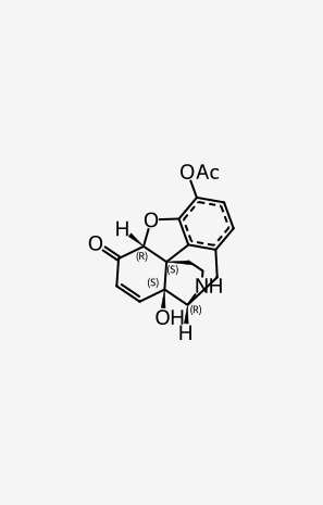 CC(=O)Oc1ccc2c3c1O[C@H]1C(=O)C=C[C@@]4(O)[C@@H](C2)NCC[C@]314